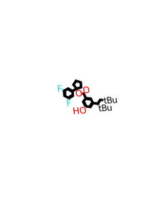 CC(C)(C)CC(c1cc(O)cc(C(=O)OC2(c3cc(F)cc(F)c3)CCCC2)c1)C(C)(C)C